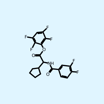 O=C(NC(C(=O)Oc1c(F)c(F)cc(F)c1F)C1CCCC1)c1ccc(F)c(F)c1